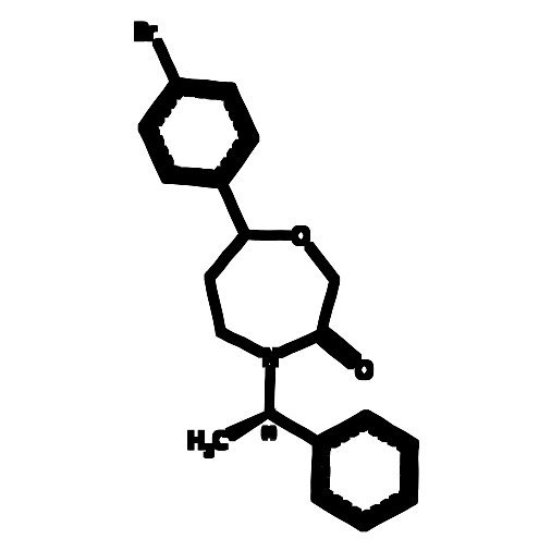 C[C@H](c1ccccc1)N1CCC(c2ccc(Br)cc2)OCC1=O